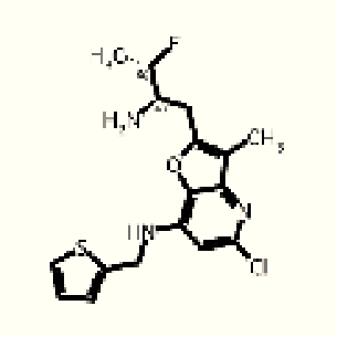 Cc1c(C[C@@H](N)[C@H](C)F)oc2c(NCc3cccs3)cc(Cl)nc12